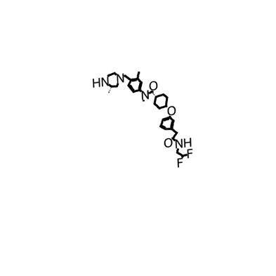 Cc1cc(N(C)C(=O)[C@H]2CC[C@H](Oc3cccc(CC(=O)NCC(F)F)c3)CC2)ccc1CN1CCN[C@@H](C)C1